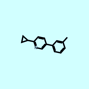 Cc1cccc(-c2ccc(C3CC3)nc2)c1